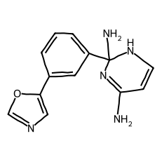 NC1=NC(N)(c2cccc(-c3cnco3)c2)NC=C1